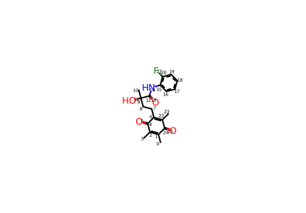 CC1=C(C)C(=O)C(CCC(C)(O)C(=O)Nc2ccccc2F)=C(C)C1=O